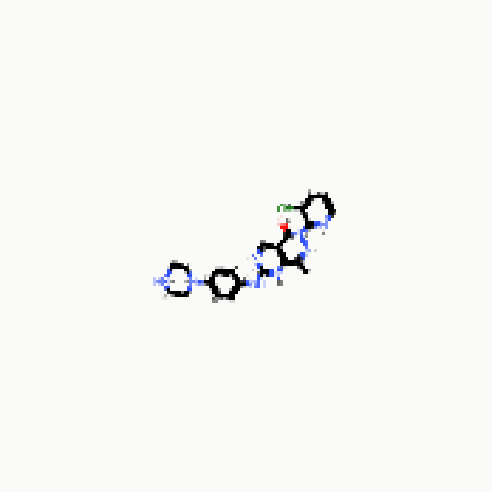 Cc1nn(-c2ncccc2Cl)c(=O)c2cnc(Nc3ccc(N4CCNCC4)cc3)nc12